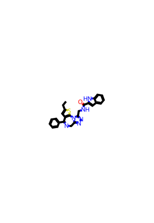 CCc1cc2c(s1)-n1c(nnc1CNC(=O)c1cc3ccccc3[nH]1)CN=C2c1ccccc1